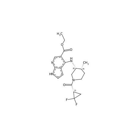 CCOC(=O)c1cnc2[nH]ccc2c1N[C@H]1CN(C(=O)[C@@H]2CC2(F)F)CC[C@H]1C